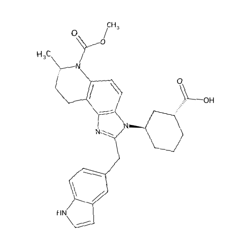 COC(=O)N1c2ccc3c(nc(Cc4ccc5[nH]ccc5c4)n3[C@@H]3CCC[C@@H](C(=O)O)C3)c2CCC1C